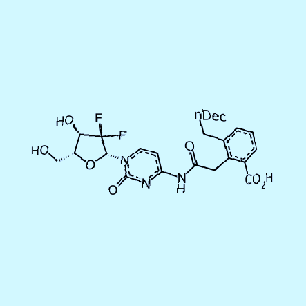 CCCCCCCCCCCc1cccc(C(=O)O)c1CC(=O)Nc1ccn([C@@H]2O[C@H](CO)[C@@H](O)C2(F)F)c(=O)n1